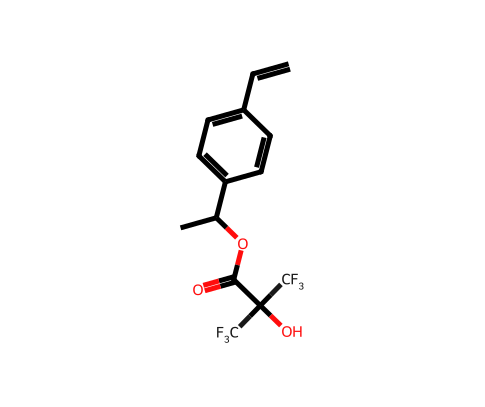 C=Cc1ccc(C(C)OC(=O)C(O)(C(F)(F)F)C(F)(F)F)cc1